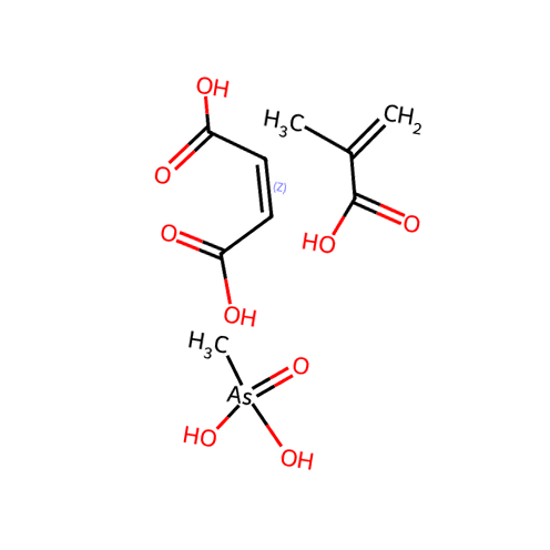 C=C(C)C(=O)O.C[As](=O)(O)O.O=C(O)/C=C\C(=O)O